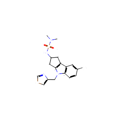 CN(C)S(=O)(=O)NC1Cc2c(n(Cc3cscn3)c3ccc(C#N)cc23)C1